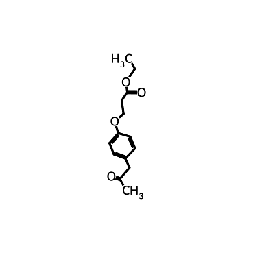 CCOC(=O)CCOc1ccc(CC(C)=O)cc1